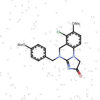 COc1ccc(CN2Cc3c(ccc(OC)c3Cl)N3CC(=O)N=C23)cc1